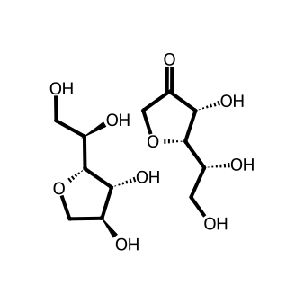 O=C1CO[C@@H]([C@H](O)CO)[C@H]1O.OC[C@@H](O)[C@H]1OC[C@H](O)[C@H]1O